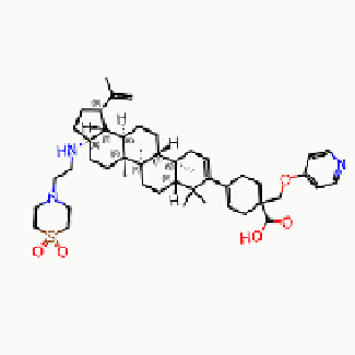 C=C(C)[C@@H]1CC[C@]2(NCCN3CCS(=O)(=O)CC3)CC[C@]3(C)[C@H](CC[C@@H]4[C@@]5(C)CC=C(C6=CCC(COc7ccncc7)(C(=O)O)CC6)C(C)(C)[C@@H]5CC[C@]43C)[C@@H]12